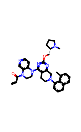 C=CC(=O)N1CCN(c2nc(OC[C@@H]3CCCN3C)nc3c2CCN(c2cccc4cccc(C)c24)C3)c2ccncc21